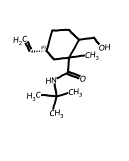 C=C[C@@H]1CCC(CO)C(C)(C(=O)NC(C)(C)C)C1